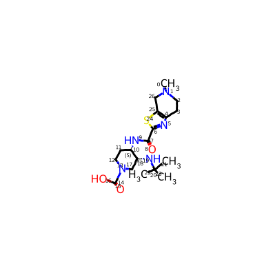 CN1CCc2nc(C(=O)N[C@H]3CCN(C(=O)O)C[C@H]3NC(C)(C)C)sc2C1